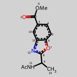 COC(=O)c1ccc2oc(C(C)NC(C)=O)nc2c1